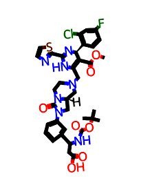 COC(=O)C1=C(CN2CCN3C(=O)N(c4cccc(C(CC(=O)O)NC(=O)OC(C)(C)C)c4)C[C@@H]3C2)NC(c2nccs2)=N[C@H]1c1ccc(F)cc1Cl